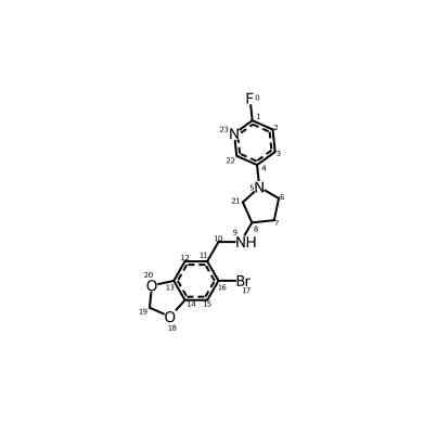 Fc1ccc(N2CCC(NCc3cc4c(cc3Br)OCO4)C2)cn1